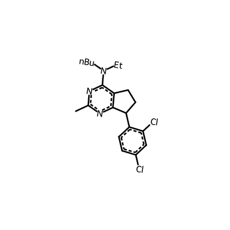 CCCCN(CC)c1nc(C)nc2c1CCC2c1ccc(Cl)cc1Cl